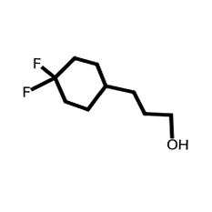 OCCCC1CCC(F)(F)CC1